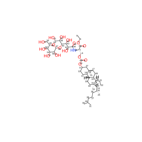 CCOC(=O)[C@H](COC(=O)OC1CC[C@@]2(C)C(=CC[C@H]3[C@@H]4CC[C@H]([C@H](C)CCCC(C)C)[C@@]4(C)CC[C@@H]32)C1)NC(=O)C(O)C(O)C(O[C@@H]1OC(CO)[C@H](O)C(O)[C@@H]1O)C(O)CO